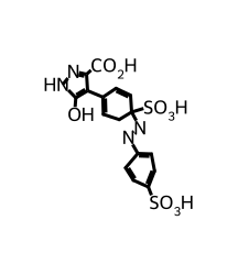 O=C(O)c1n[nH]c(O)c1C1=CCC(N=Nc2ccc(S(=O)(=O)O)cc2)(S(=O)(=O)O)C=C1